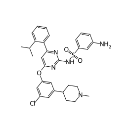 CC(C)c1ccccc1-c1cc(Oc2cc(Cl)cc(C3CCN(C)CC3)c2)nc(NS(=O)(=O)c2cccc(N)c2)n1